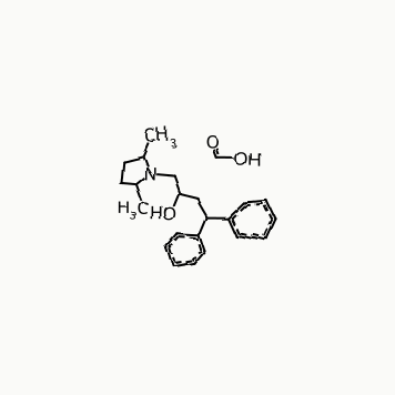 CC1CCC(C)N1CC(O)CC(c1ccccc1)c1ccccc1.O=CO